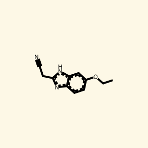 CCOc1ccc2nc(CC#N)[nH]c2c1